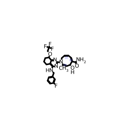 C/C1=C/C(O)/C(C(N)=O)=C\C=C/CN1c1nc(NCc2cccc(F)c2)c2c(n1)C(OCC(F)(F)F)CCC2